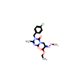 CCOC(=O)/C(Cn1c(=O)nc(C)n(Cc2ccc(Cl)cc2)c1=O)=N/OC